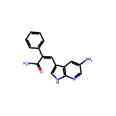 NC(=O)C(=Cc1c[nH]c2ncc(N)cc12)c1ccccc1